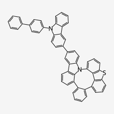 c1ccc(-c2ccc(-n3c4ccccc4c4cc(-c5ccc6c(c5)c5cccc7c8ccccc8c8cccc9sc%10cccc(c%10c98)n6c75)ccc43)cc2)cc1